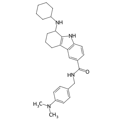 CN(C)c1ccc(CNC(=O)c2ccc3[nH]c4c(c3c2)CCCC4NC2CCCCC2)cc1